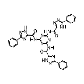 O=C(Nc1nc(NC(=O)c2nc(-c3ccccc3)n[nH]2)nc(NC(=O)c2nnc(-c3ccccc3)[nH]2)n1)c1nc(-c2ccccc2)n[nH]1